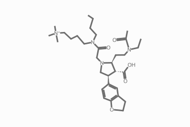 CCCCN(CCCC[N+](C)(C)C)C(=O)CN1C[C@H](c2ccc3c(c2)CCO3)[C@@H](C(=O)O)[C@@H]1CCN(CC)C(C)=O